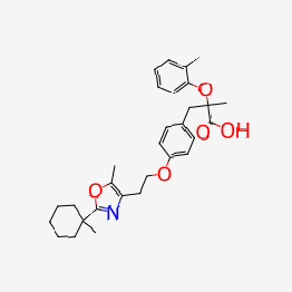 Cc1ccccc1OC(C)(Cc1ccc(OCCc2nc(C3(C)CCCCC3)oc2C)cc1)C(=O)O